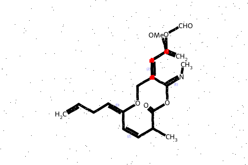 C=CC/C=C(\C=C/C(C)C(=O)OC(/C=C\C(=C)OC)=N/C)OCCCCOC=O